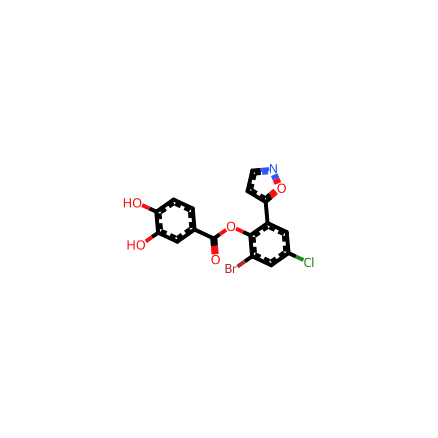 O=C(Oc1c(Br)cc(Cl)cc1-c1ccno1)c1ccc(O)c(O)c1